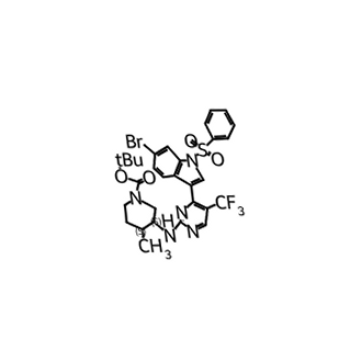 C[C@H]1CCN(C(=O)OC(C)(C)C)C[C@H]1Nc1ncc(C(F)(F)F)c(-c2cn(S(=O)(=O)c3ccccc3)c3cc(Br)ccc23)n1